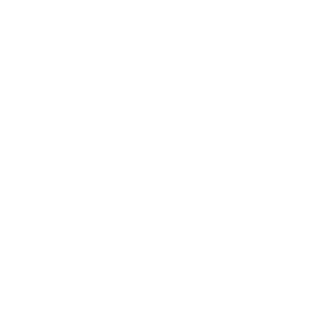 CC(=O)SCCOCC(F)(F)F